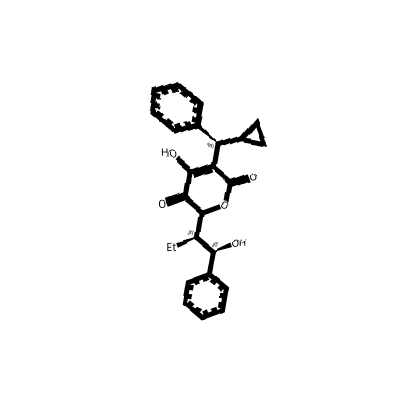 CC[C@@H](C1OC(=O)C([C@@H](c2ccccc2)C2CC2)=C(O)C1=O)[C@@H](O)c1ccccc1